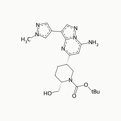 Cn1cc(-c2cnn3c(N)cc([C@H]4CC[C@@H](CO)N(C(=O)OC(C)(C)C)C4)nc23)cn1